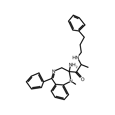 CC(NCCCc1ccccc1)C(=O)C1(N)CN=C(c2ccccc2)c2ccccc2N1C